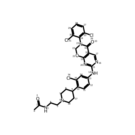 CC(=O)NCCN1CCC(c2ccc(Nc3ncc4c(n3)OCN(c3c(Cl)cccc3Cl)C4=O)cc2Cl)CC1